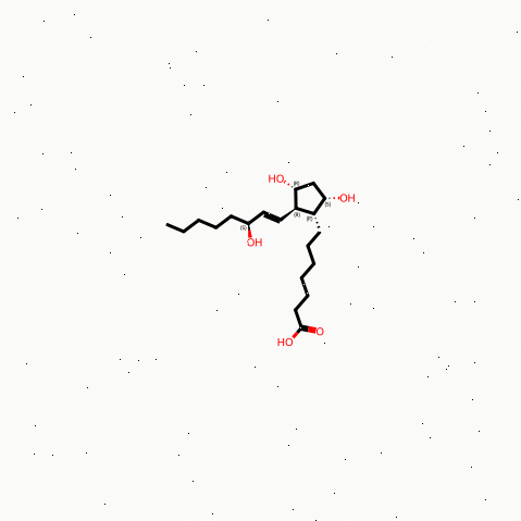 CCCCC[C@H](O)C=C[C@@H]1[C@@H](CCCCCCC(=O)O)[C@@H](O)C[C@H]1O